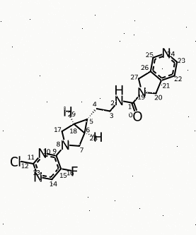 O=C(NCC[C@@H]1[C@H]2CN(c3nc(Cl)ncc3F)C[C@@H]12)N1Cc2ccncc2C1